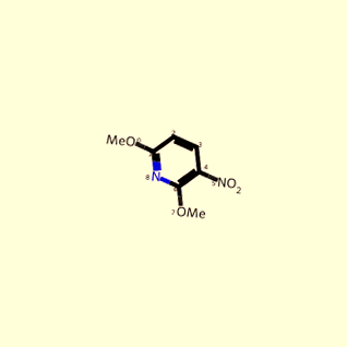 COc1ccc([N+](=O)[O-])c(OC)n1